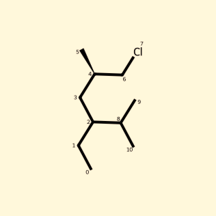 CCC(C[C@@H](C)CCl)C(C)C